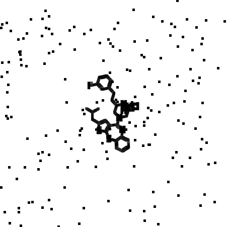 CC(C)Cc1cc2c(s1)Sc1ccccc1N=C2N1CCNC(CCc2cccc(F)c2)C1.Cl.Cl